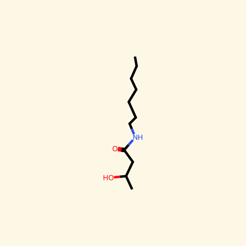 CCCCCCCNC(=O)CC(C)O